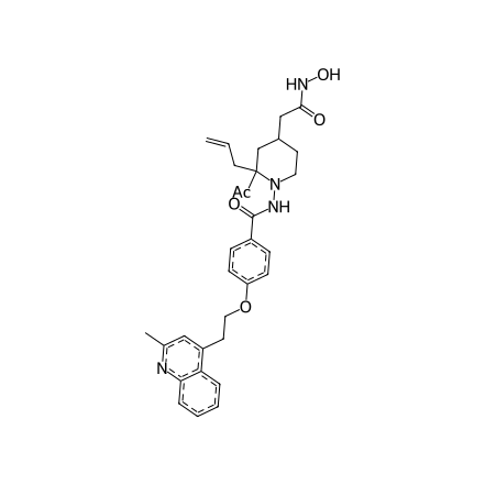 C=CCC1(C(C)=O)CC(CC(=O)NO)CCN1NC(=O)c1ccc(OCCc2cc(C)nc3ccccc23)cc1